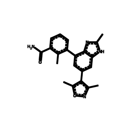 Cc1nc2c(-c3cccc(C(N)=O)c3C)cc(-c3c(C)noc3C)cc2[nH]1